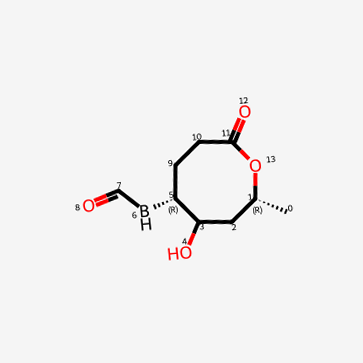 C[C@@H]1CC(O)[C@H](BC=O)CCC(=O)O1